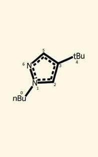 CCCCn1cc(C(C)(C)C)cn1